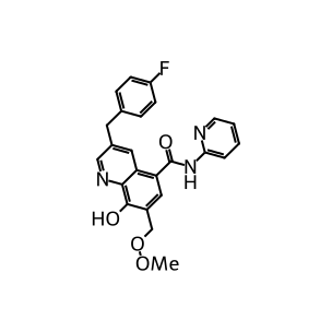 COOCc1cc(C(=O)Nc2ccccn2)c2cc(Cc3ccc(F)cc3)cnc2c1O